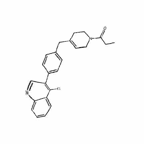 CCC(=O)N1CC=C(Cc2ccc(-c3cnc4ccccc4c3Cl)cc2)CC1